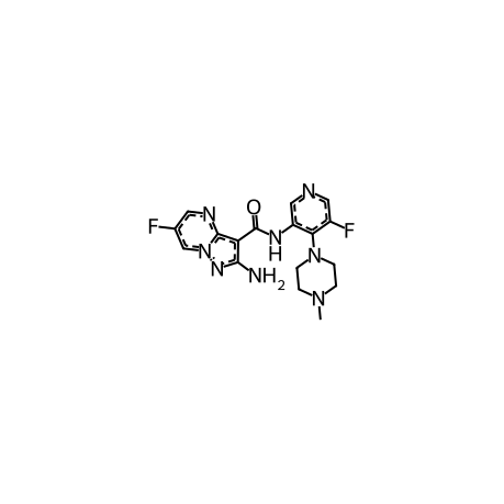 CN1CCN(c2c(F)cncc2NC(=O)c2c(N)nn3cc(F)cnc23)CC1